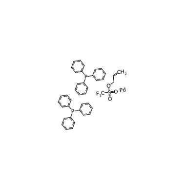 C=CCOS(=O)(=O)C(F)(F)F.[Pd].c1ccc(P(c2ccccc2)c2ccccc2)cc1.c1ccc(P(c2ccccc2)c2ccccc2)cc1